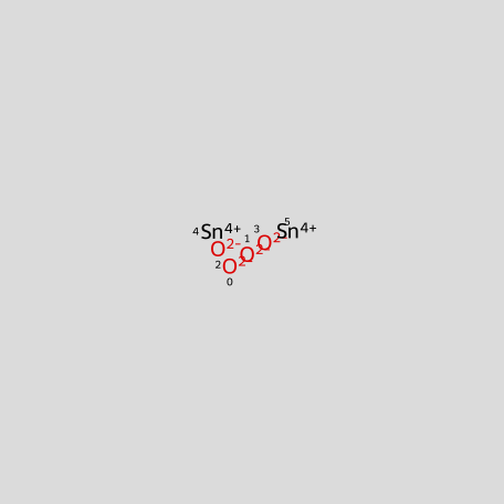 [O-2].[O-2].[O-2].[O-2].[Sn+4].[Sn+4]